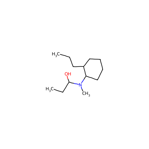 CCCC1CCCCC1N(C)C(O)CC